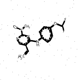 C=Cc1cnc([S+](C)[O-])nc1Nc1ccc(OC(F)F)cc1